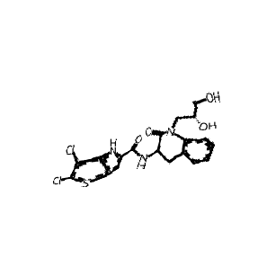 O=C(NC1Cc2ccccc2N(C[C@@H](O)CO)C1=O)c1cc2sc(Cl)c(Cl)c2[nH]1